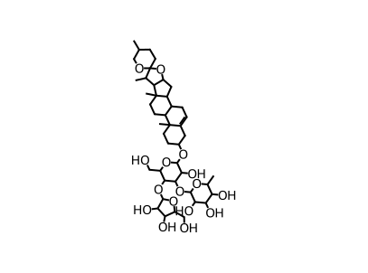 CC1CCC2(OC1)OC1CC3C4CC=C5CC(OC6OC(CO)C(OC7OC(CO)C(O)C7O)C(OC7OC(C)C(O)C(O)C7O)C6O)CCC5(C)C4CCC3(C)C1C2C